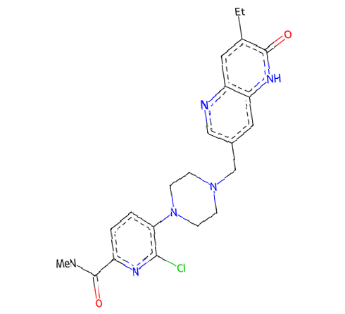 CCc1cc2ncc(CN3CCN(c4ccc(C(=O)NC)nc4Cl)CC3)cc2[nH]c1=O